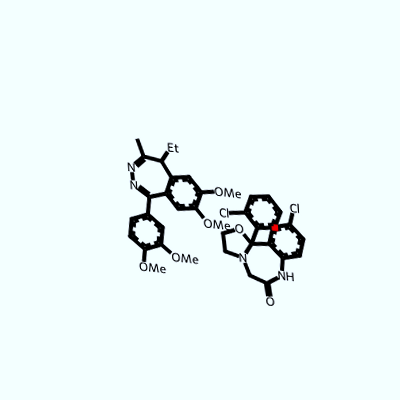 CCC1C(C)=NN=C(c2ccc(OC)c(OC)c2)c2cc(OC)c(OC)cc21.O=C1CN2CCOC2(c2ccccc2Cl)c2cc(Cl)ccc2N1